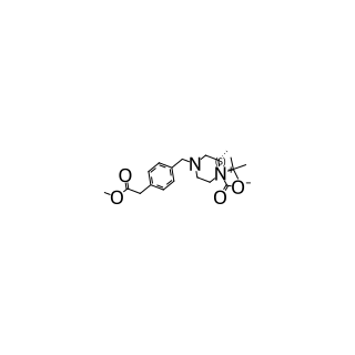 COC(=O)Cc1ccc(CN2CC[N+](C(=O)[O-])(C(C)(C)C)[C@@H](C)C2)cc1